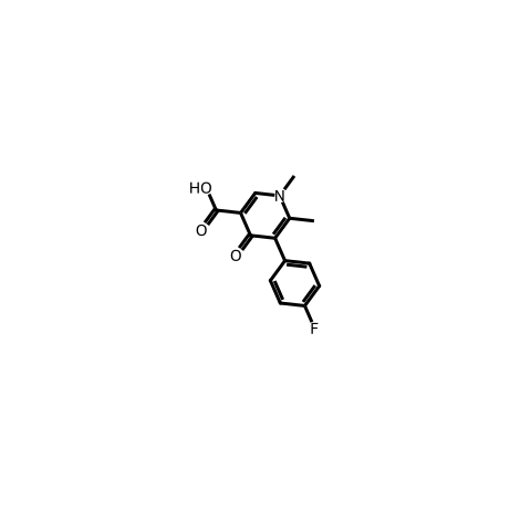 Cc1c(-c2ccc(F)cc2)c(=O)c(C(=O)O)cn1C